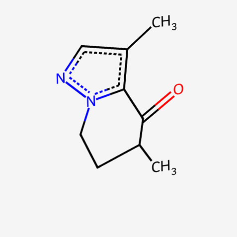 Cc1cnn2c1C(=O)C(C)CC2